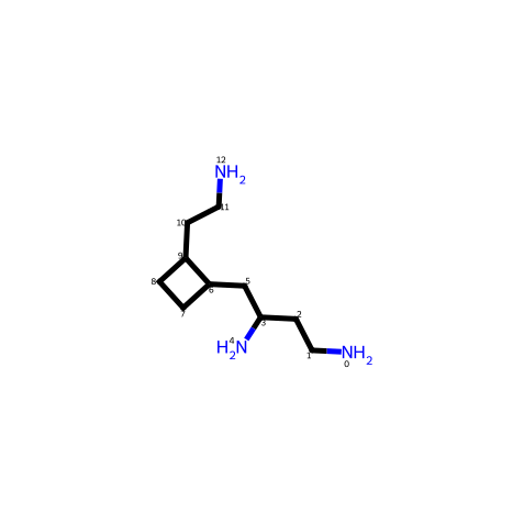 NCCC(N)CC1CCC1CCN